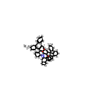 CC1C=CC(c2ccccc2-c2ccccc2N(c2cccc3c2-c2ccccc2C3(c2ccccc2)c2ccccc2)c2cc3ccccc3c3ccccc23)=C(c2ccccc2)C1